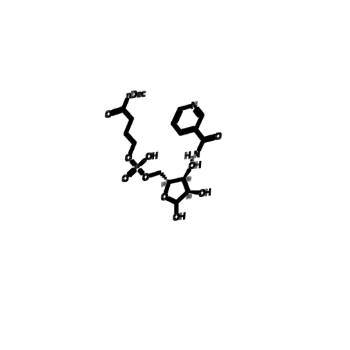 CCCCCCCCCCC(=O)CCCOP(=O)(O)OC[C@H]1OC(O)[C@H](O)[C@@H]1O.NC(=O)c1cccnc1